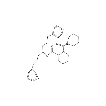 O=C(OC(CCCc1cccnc1)CCCc1cccnc1)C1CCCCN1C(=O)N1CCCCC1